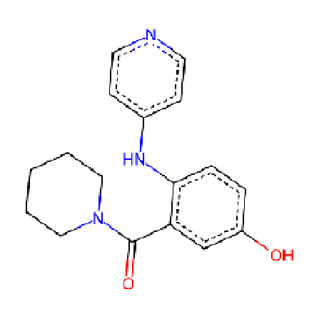 O=C(c1cc(O)ccc1Nc1ccncc1)N1CCCCC1